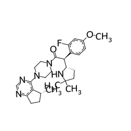 COc1ccc([C@H](C(=O)N2CCN(c3ncnc4c3[C@H](C)CC4)CC2)[C@@H]2CCC(C)(C)N2)c(F)c1